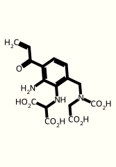 C=CC(=O)c1ccc(CN(CC(=O)O)C(=O)O)c(NC(C(=O)O)C(=O)O)c1N